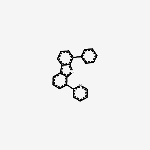 c1ccc(-c2cccc3c2oc2c(-c4ccccn4)cccc23)cc1